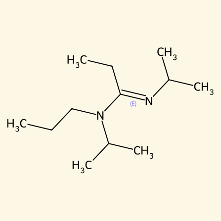 CCCN(/C(CC)=N/C(C)C)C(C)C